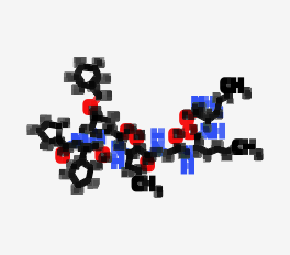 CCCCC(NC(=O)C(CCCC)NC(=O)CNC(=O)C(=O)C(CCC)NC(=O)[C@@H]1C[C@@H](OCc2ccccc2)CN1C(=O)C(NC(=O)C1CCCC1)C1CCCCC1)C(N)=O